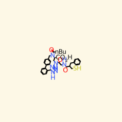 CCCCC(=O)N(Cc1ccc(-c2ccccc2-c2nnn[nH]2)cc1)C(CNC(=O)CNC(=O)C(CS)Cc1ccccc1)C(=O)O